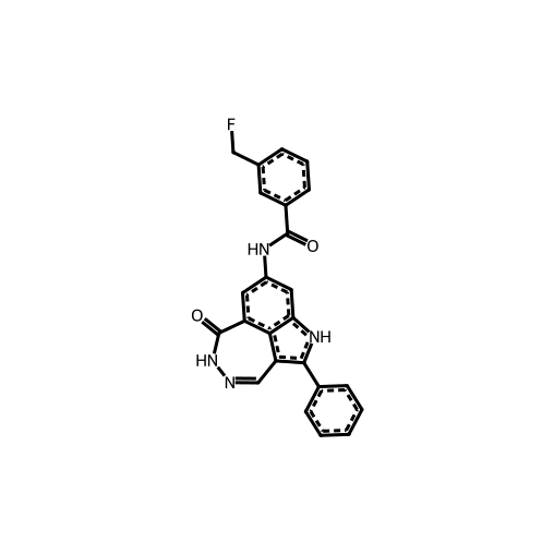 O=C(Nc1cc2c3c(c(-c4ccccc4)[nH]c3c1)C=NNC2=O)c1cccc(CF)c1